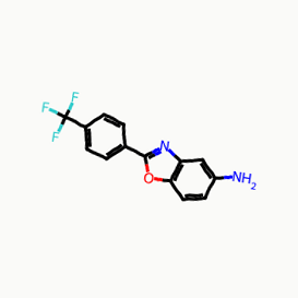 Nc1ccc2oc(-c3ccc(C(F)(F)F)cc3)nc2c1